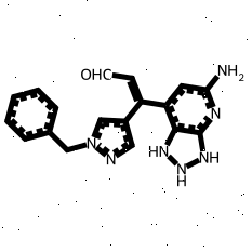 Nc1cc(/C(=C/C=O)c2cnn(Cc3ccccc3)c2)c2c(n1)NNN2